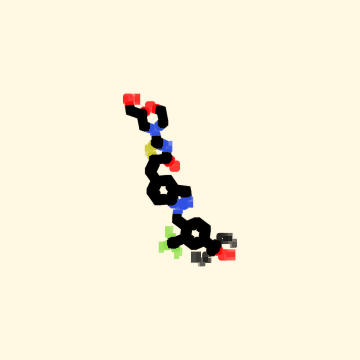 CC(C)(O)c1ccc(Cn2ncc3cc(C=C4SC(N5CCOC(CO)C5)=NC4=O)ccc32)c(C(F)(F)F)c1